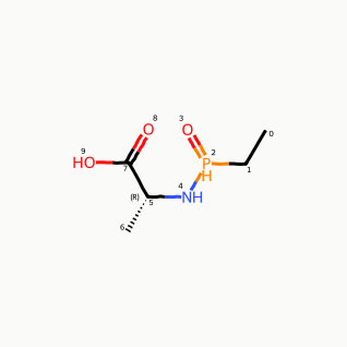 CC[PH](=O)N[C@H](C)C(=O)O